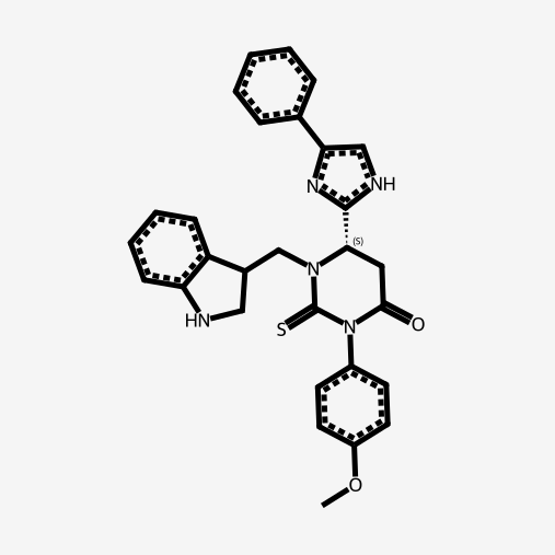 COc1ccc(N2C(=O)C[C@@H](c3nc(-c4ccccc4)c[nH]3)N(CC3CNc4ccccc43)C2=S)cc1